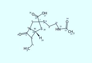 CCC1C(=O)N2CC(SCCNC(C)=O)(C(=O)O)S[C@H]12